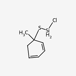 CC1(S[SiH2]Cl)C=CC=CC1